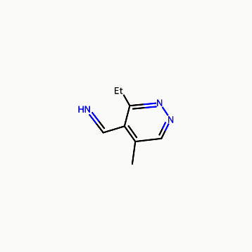 CCc1nncc(C)c1C=N